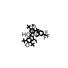 CCC(C)C(N=Cc1cc(C(F)(F)F)ccc1O)C(O)(c1cc(C(C)(C)C)c(OC)c(C(C)(C)C)c1)c1cc(C(C)(C)C)c(OC)c(C(C)(C)C)c1